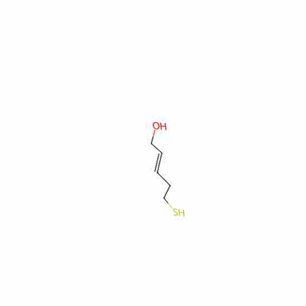 OC/C=C/CCS